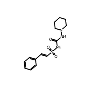 O=C(NN1CCCCC1)NS(=O)(=O)C=Cc1ccccc1